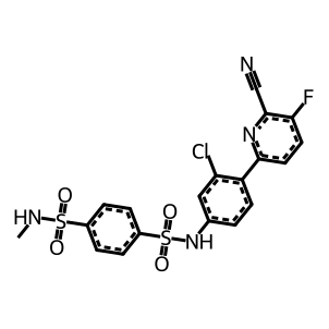 CNS(=O)(=O)c1ccc(S(=O)(=O)Nc2ccc(-c3ccc(F)c(C#N)n3)c(Cl)c2)cc1